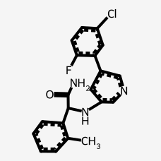 Cc1ccccc1C(Nc1cncc(-c2cc(Cl)ccc2F)c1)C(N)=O